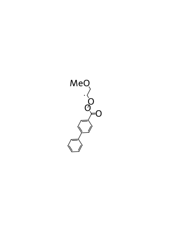 COC[CH]OOC(=O)c1ccc(-c2ccccc2)cc1